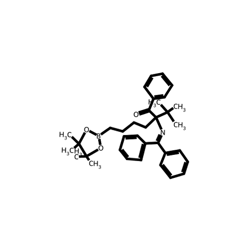 CC(C)(C)C(CCCCB1OC(C)(C)C(C)(C)O1)(N=C(c1ccccc1)c1ccccc1)C(=O)c1ccccc1